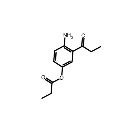 CCC(=O)Oc1ccc(N)c(C(=O)CC)c1